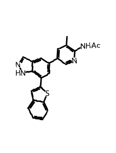 CC(=O)Nc1ncc(-c2cc(-c3cc4ccccc4s3)c3[nH]ncc3c2)cc1C